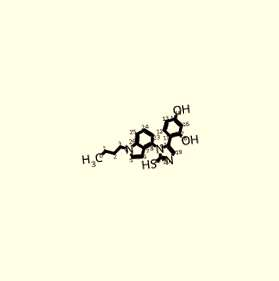 CCCCn1ccc2c(-n3c(-c4ccc(O)cc4O)cnc3S)cccc21